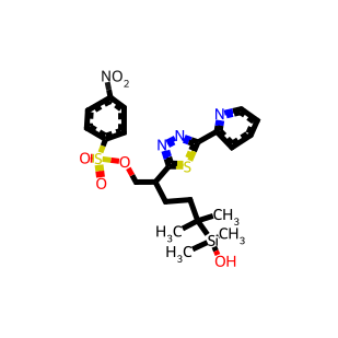 CC(C)(CCC(COS(=O)(=O)c1ccc([N+](=O)[O-])cc1)c1nnc(-c2ccccn2)s1)[Si](C)(C)O